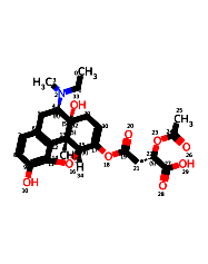 CCN(C)[C@@H]1Cc2ccc(O)c3c2[C@@]2(C)[C@@H](O3)C(OC(=O)C[C@H](OC(C)=O)C(=O)O)=CC[C@@]12O